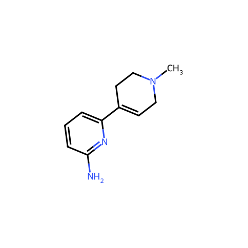 CN1CC=C(c2cccc(N)n2)CC1